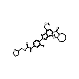 CCc1cc(C(=O)N2CCCCCC2C)nc2cc(-c3ccc(NC(=O)OCC4CCCO4)cc3F)nn12